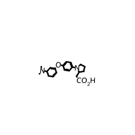 CN(C)C1C=C(Oc2ccc(N3CCCC3CC(=O)O)cc2)C=CC1